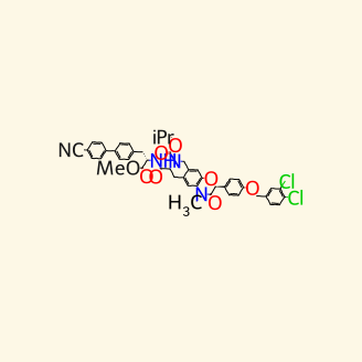 COC(=O)[C@H](Cc1ccc(-c2ccc(C#N)cc2)cc1)NC(=O)C1Cc2cc3c(cc2CN1C(=O)OC(C)C)O[C@@H](c1ccc(OCc2ccc(Cl)c(Cl)c2)cc1)C(=O)N3C